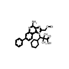 CCOCc1nc2c(N)nc3cc(-c4ccccc4)ccc3c2n1C(C1CCCCC1)C(C)(C)C([NH])=O